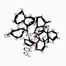 CC1=CC=CC2[CH](/[Zr+2]([C]3=CC=CC3)=[C](/c3ccc(Cl)cc3)c3cccc4ccccc34)C3(C)C4(C)C=CC=CC4(C)C4(C)C=CC=CC4(C)C3(C)C12C.[Cl-].[Cl-]